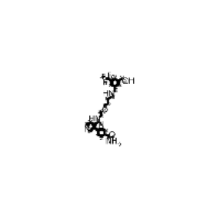 NC(=O)c1ccc2c(c1)nc(NCCOCCCCNCc1cc(CO)cc(C(F)(F)F)c1)c1ccncc12